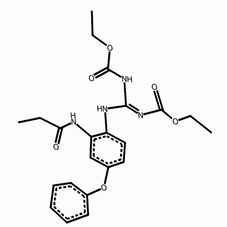 CCOC(=O)N=C(NC(=O)OCC)Nc1ccc(Oc2ccccc2)cc1NC(=O)CC